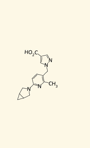 Cc1nc(N2CC3CC3C2)ccc1Cn1cc(C(=O)O)cn1